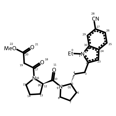 CCn1c(CC[C@@H]2CCCN2C(=O)[C@H]2CCCN2C(=O)CC(=O)OC)cc2ccc(C#N)cc21